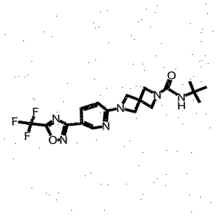 CC(C)(C)NC(=O)N1CC2(C1)CN(c1ccc(-c3noc(C(F)(F)F)n3)cn1)C2